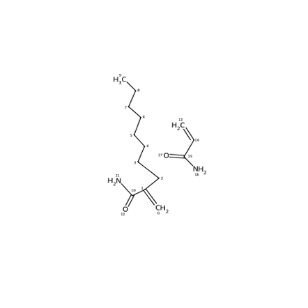 C=C(CCCCCCCC)C(N)=O.C=CC(N)=O